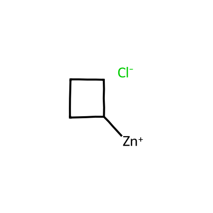 [Cl-].[Zn+][CH]1CCC1